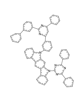 c1ccc(-c2cccc(-c3nc(-c4ccccc4)cc(-c4cccc(-n5c6ccccc6c6cc7c8ccccc8n(-c8nc(-c9ccccc9)nc(-c9ccccc9)n8)c7cc65)c4)n3)c2)cc1